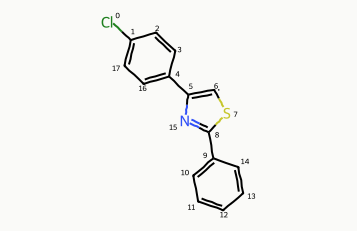 Clc1ccc(-c2[c]sc(-c3ccccc3)n2)cc1